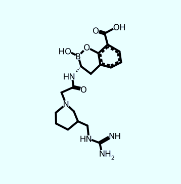 N=C(N)NCC1CCCN(CC(=O)N[C@H]2Cc3cccc(C(=O)O)c3OB2O)C1